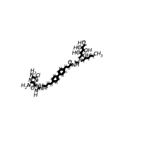 CCCCCCN(CCNC(=O)CCc1ccc(-c2ccc(CCCCNC(=N)NC(=O)c3nc(Cl)c(N)nc3N)cc2)cc1)CC(O)C(O)C(O)C(O)CO